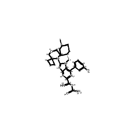 C[C@H]1CC[C@H](Cn2c(N3CCOCC34CCC4)nc3nc(C(=N)OC(N)=O)nc(-c4cccc(Cl)c4)c32)CC1